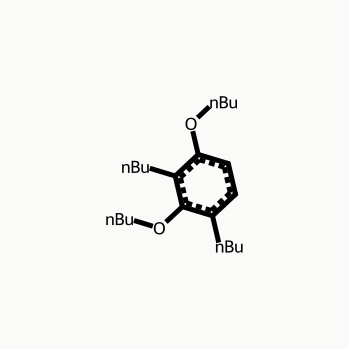 CCCCOc1ccc(CCCC)c(OCCCC)c1CCCC